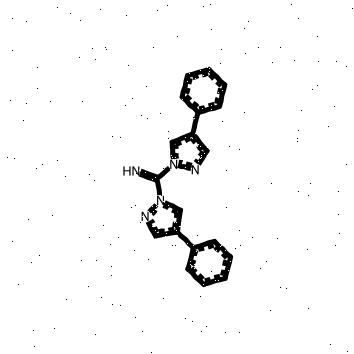 N=C(n1cc(-c2ccccc2)cn1)n1cc(-c2ccccc2)cn1